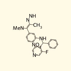 CN/C(=C(/C)N=N)c1ccc([N+](=O)[O-])c(NC(c2ccccc2)c2ccncc2F)c1